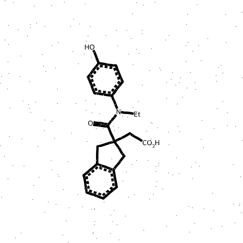 CCN(C(=O)C1(CC(=O)O)Cc2ccccc2C1)c1ccc(O)cc1